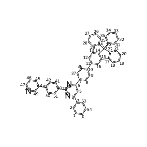 c1ccc(-c2cc(-c3ccc(-c4ccc5c(c4)-c4ccccc4C5(c4ccccc4)c4ccccc4)cc3)nc(-c3ccc(-c4cccnc4)cc3)n2)cc1